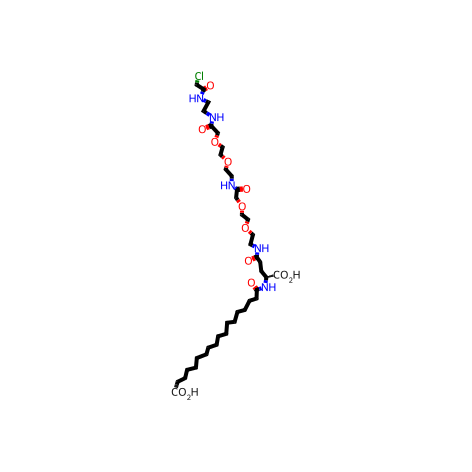 O=C(O)CCCCCCCCCCCCCCCCC(=O)N[C@@H](CCC(=O)NCCOCCOCC(=O)NCCOCCOCC(=O)NCCNC(=O)CCl)C(=O)O